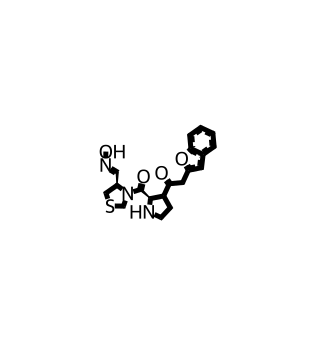 O=C(Cc1cc2ccccc2o1)C1CCN[C@H]1C(=O)N1CSC[C@H]1C=NO